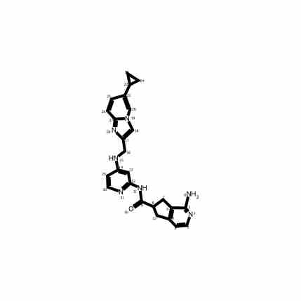 Nc1nccc2c1CC(C(=O)Nc1cc(NCc3cn4cc(C5CC5)ccc4n3)ccn1)C2